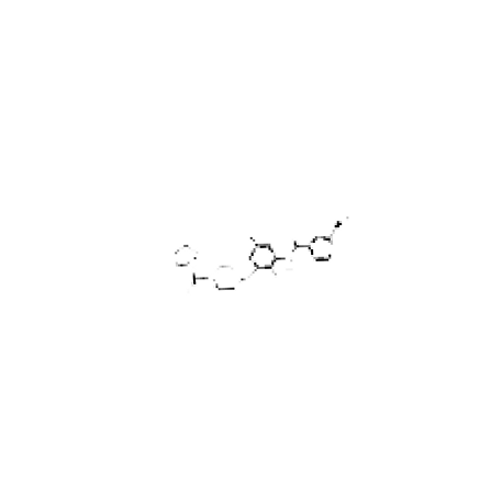 Cc1c(CN2CCN(C(=O)N3CCCC3)[C@@H](C)C2)cc(Cl)cc1NC(=O)c1ccnc(C#N)c1